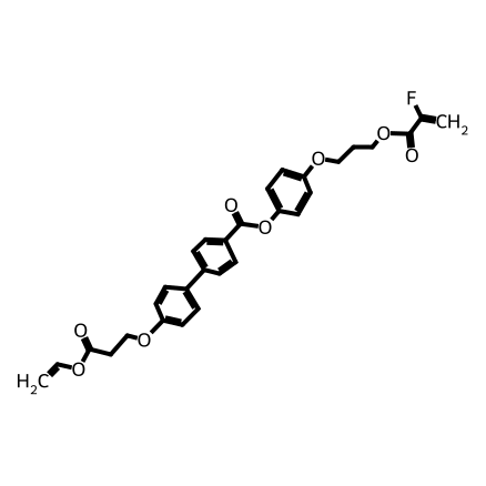 C=COC(=O)CCOc1ccc(-c2ccc(C(=O)Oc3ccc(OCCCOC(=O)C(=C)F)cc3)cc2)cc1